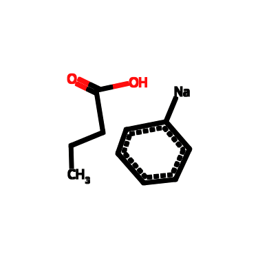 CCCC(=O)O.[Na][c]1ccccc1